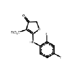 CCOC(=O)C1=C(Nc2ccc(F)cc2F)OCC1=O